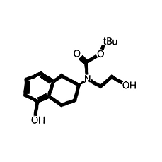 CC(C)(C)OC(=O)N(CCO)[C@H]1CCc2c(O)cccc2C1